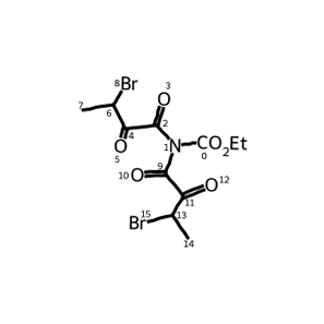 CCOC(=O)N(C(=O)C(=O)C(C)Br)C(=O)C(=O)C(C)Br